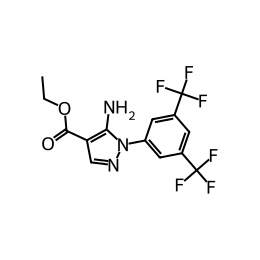 CCOC(=O)c1cnn(-c2cc(C(F)(F)F)cc(C(F)(F)F)c2)c1N